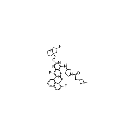 CN1CC(=CC(=O)N2CC[C@@H](N(C)c3nc(OC[C@@]45CCCN4C[C@H](F)C5)nc4c(F)c(-c5cccc6ccc(F)c(F)c56)ncc34)C2)C1